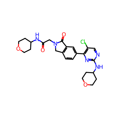 O=C(CN1Cc2ccc(-c3nc(NC4CCOCC4)ncc3Cl)cc2C1=O)NC1CCOCC1